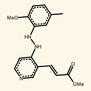 COC(=O)/C=C/c1cnccc1NNc1cc(C)ccc1OC